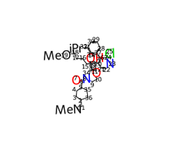 CNCC1CCC(C(=O)N2CCO[C@@H]([C@@](O)(CCCCOC)c3ccnc(Cl)c3-c3cccc(C(C)C)c3)C2)CC1